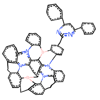 c1ccc(-c2cc(-c3ccccc3)nc(-c3ccc4c(c3)B3c5ccccc5-n5c6cccc7c6n6c8c9c%10c(c3c85)n-4c3cccc4c3n%10-c3c(ccc5c3B9c3c(ccc(c3-6)C7)C5)C4)n2)cc1